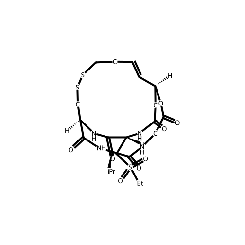 CCS(=O)(=O)C[C@H]1NC(=O)C[C@H]2/C=C/CCSSC[C@@H](NC1=O)C(=O)N[C@H](C(C)C)C(=O)NCC(=O)O2